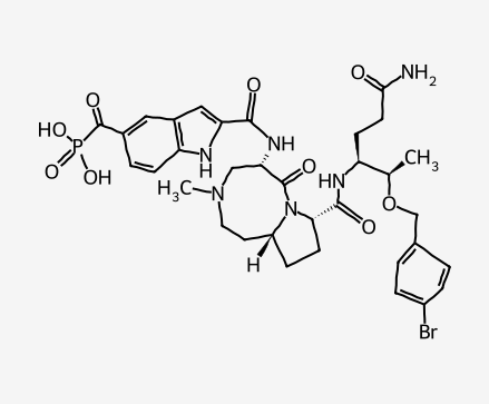 C[C@@H](OCc1ccc(Br)cc1)[C@H](CCC(N)=O)NC(=O)[C@@H]1CC[C@@H]2CCN(C)C[C@H](NC(=O)c3cc4cc(C(=O)P(=O)(O)O)ccc4[nH]3)C(=O)N21